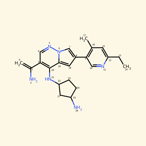 C=C(N)c1cnn2cc(-c3cnc(CC)cc3C)cc2c1NC1CCC(N)C1